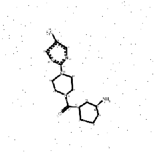 N[C@H]1CCC[C@@H](C(=O)N2CCN(c3ncc(C(F)(F)F)cn3)CC2)C1